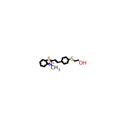 C[n+]1c(/C=C/c2ccc(SCCO)cc2)sc2ccccc21